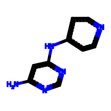 Nc1cc(Nc2ccncc2)ncn1